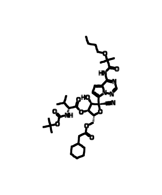 CCCCOC(C)(C)C(=O)Nc1ncnn2c([C@]3(C#N)O[C@H](COC(=O)CC4CCCCC4)[C@@H](OC(=O)[C@H](NC(=O)OC(C)(C)C)C(C)C)[C@H]3O)ccc12